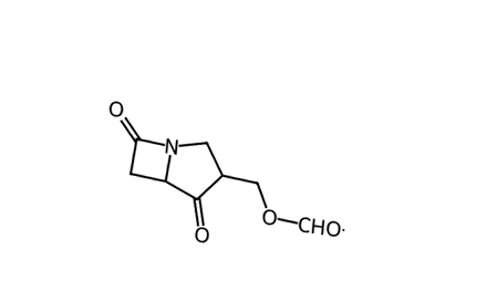 O=[C]OCC1CN2C(=O)CC2C1=O